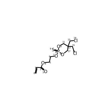 C=CC(=O)OCCOP1(=S)OCC(CCl)(CCl)CO1